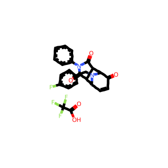 O=C(O)C(F)(F)F.O=C1C=CC2C3C(=O)N(c4ccccc4)C(=O)C3C1N2Cc1ccc(F)cc1